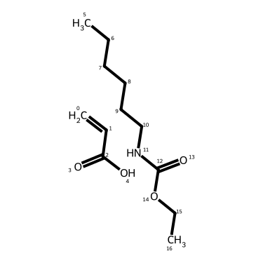 C=CC(=O)O.CCCCCCNC(=O)OCC